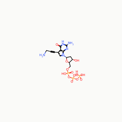 NCC#Cc1cn([C@H]2C[C@@H](O)C(COP(=O)(O)OP(=O)(O)OP(=O)(O)O)O2)c2nc(N)[nH]c(=O)c12